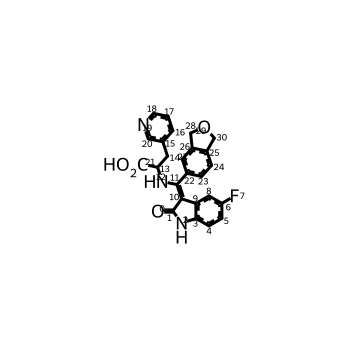 O=C1Nc2ccc(F)cc2C1=C(NC(Cc1cccnc1)C(=O)O)c1ccc2c(c1)COC2